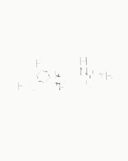 CC(C)(C)OC(=O)N[C@H]1CC[C@@](F)(S(=O)(=O)c2cc(F)cc(C(F)(F)F)c2)CC1